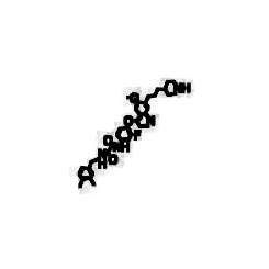 COc1cc2c(Oc3ccc(NC(=O)C(=O)NCCc4ccc(C)c(C)c4)cc3F)ccnc2cc1CCCC1CCNCC1